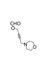 O=COCC#CCN1CCOCC1